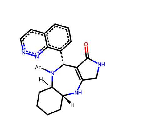 CC(=O)N1[C@@H]2CCCC[C@H]2NC2=C(C(=O)NC2)[C@H]1c1cccc2ccnnc12